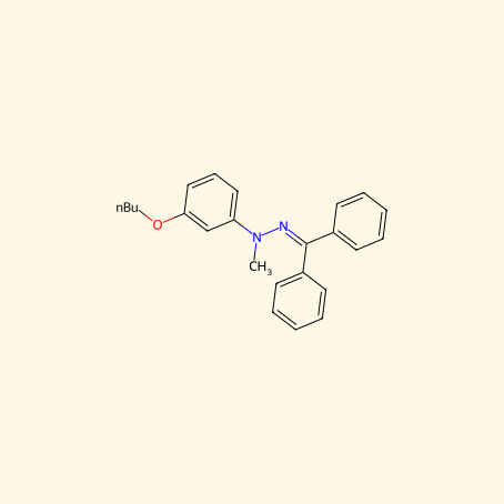 CCCCOc1cccc(N(C)N=C(c2ccccc2)c2ccccc2)c1